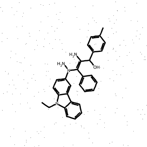 CCn1c2ccccc2c2cc(N(N)/C(=C(\N)C(O)c3ccc(C)cc3)c3ccccc3)ccc21